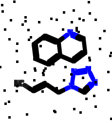 N#CC=CCn1cnnn1.c1ccc2ncccc2c1